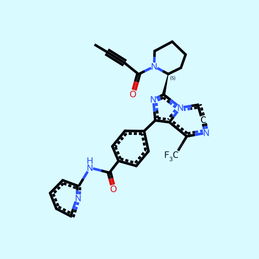 CC#CC(=O)N1CCCC[C@H]1c1nc(-c2ccc(C(=O)Nc3ccccn3)cc2)c2c(C(F)(F)F)nccn12